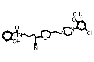 COc1ccc(Cl)cc1N1CCN(CCC2CCC(C(C#N)CCCNC(=O)c3ccccc3O)CC2)CC1